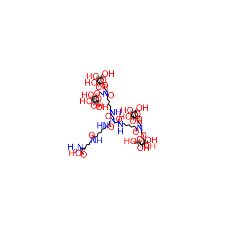 N[C@@H](CCCCNC(=O)CCCCCNC(=O)CN(CC(=O)NCCCCCC(=O)N(CCOC1O[C@H](CO)[C@@H](O)[C@H](O)[C@@H]1O)CCO[C@H]1O[C@H](CO)[C@@H](O)[C@H](O)[C@@H]1O)CC(=O)NCCCCCC(=O)N(CCOC1O[C@H](CO)[C@@H](O)[C@H](O)[C@@H]1O)CCO[C@H]1O[C@H](CO)[C@@H](O)[C@H](O)[C@@H]1O)C(=O)O